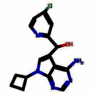 Nc1ncnc2c1c(C(O)c1cc(Cl)ccn1)cn2C1CCC1